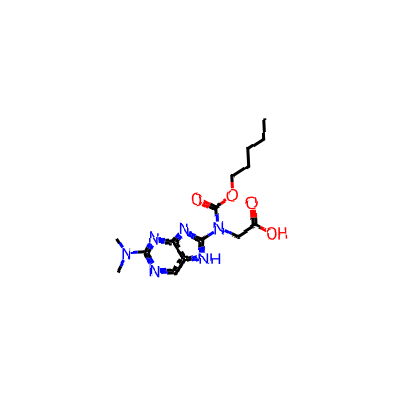 CCCCCOC(=O)N(CC(=O)O)c1nc2nc(N(C)C)ncc2[nH]1